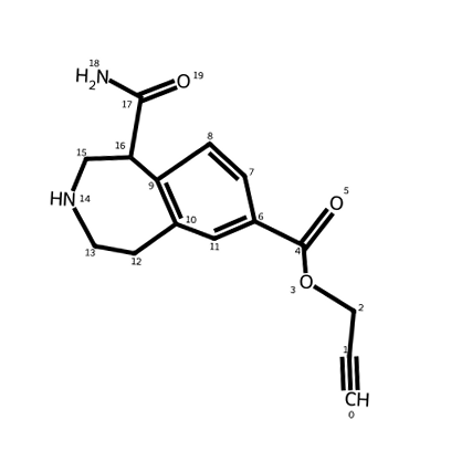 C#CCOC(=O)c1ccc2c(c1)CCNCC2C(N)=O